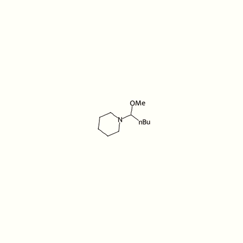 CCCCC(OC)N1CCCCC1